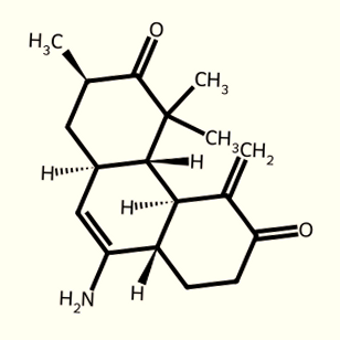 C=C1C(=O)CC[C@@H]2C(N)=C[C@H]3C[C@@H](C)C(=O)C(C)(C)[C@@H]3[C@@H]12